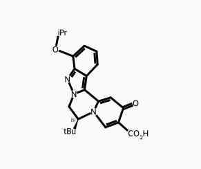 CC(C)Oc1cccc2c3n(nc12)C[C@H](C(C)(C)C)n1cc(C(=O)O)c(=O)cc1-3